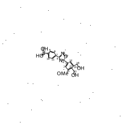 COc1cc(-c2nc(-c3ccc(B(O)O)cc3)no2)cc(CO)c1CO